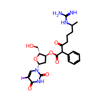 CC(CCCC(=O)C(C(=O)O[C@H]1C[C@H](n2cc(I)c(=O)[nH]c2=O)O[C@@H]1CO)c1ccccc1)NC(=N)N